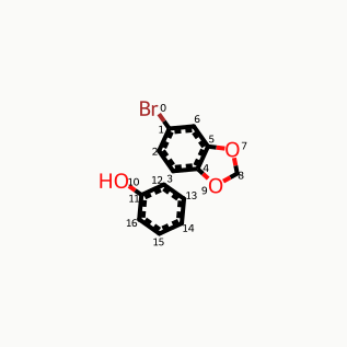 Brc1ccc2c(c1)OCO2.Oc1ccccc1